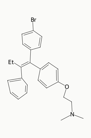 CC/C(=C(\c1ccc(Br)cc1)c1ccc(OCCN(C)C)cc1)c1ccccc1